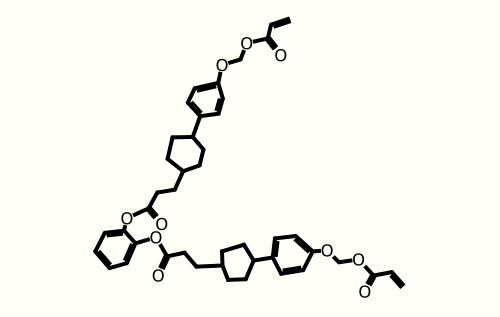 C=CC(=O)OCOc1ccc(C2CCC(CCC(=O)Oc3ccccc3OC(=O)CCC3CCC(c4ccc(OCOC(=O)C=C)cc4)CC3)CC2)cc1